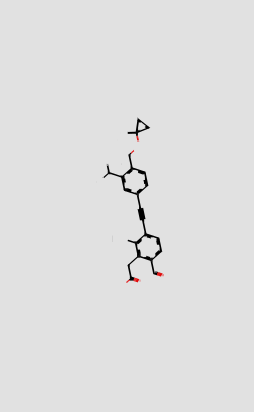 Cc1c(C#Cc2ccc(COC3(C)CC3)c(C(C)C)c2)ccc(C=O)c1CC(=O)O